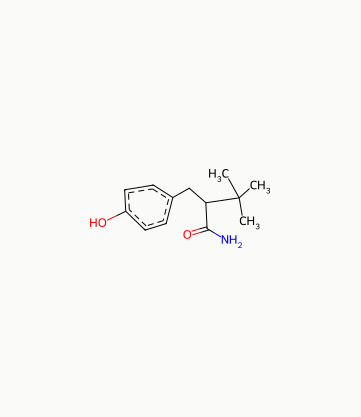 CC(C)(C)C(Cc1ccc(O)cc1)C(N)=O